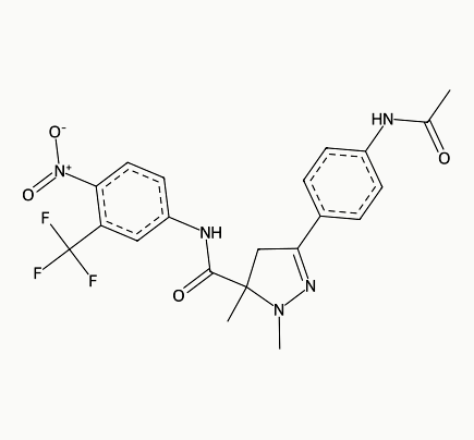 CC(=O)Nc1ccc(C2=NN(C)C(C)(C(=O)Nc3ccc([N+](=O)[O-])c(C(F)(F)F)c3)C2)cc1